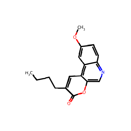 CCCCc1cc2c(cnc3ccc(OC)cc32)oc1=O